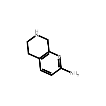 Nc1ccc2c(n1)CNCC2